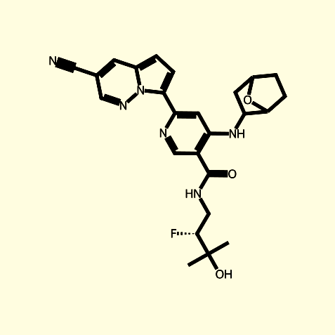 CC(C)(O)[C@H](F)CNC(=O)c1cnc(-c2ccc3cc(C#N)cnn23)cc1NC1CC2CCC1O2